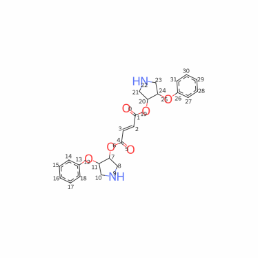 O=C(/C=C/C(=O)OC1CNCC1Oc1ccccc1)OC1CNCC1Oc1ccccc1